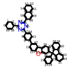 c1ccc(-c2nc(-c3ccc(-c4ccc5oc6cc(C7(c8ccccc8)c8ccccc8-c8ccccc87)ccc6c5c4)cc3)nc(-c3ccc4ccccc4c3)n2)cc1